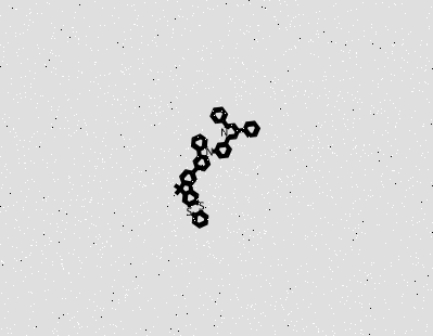 CC1(C)c2ccc(-c3ccc4c(c3)c3ccccc3n4-c3cccc(-c4cc(-c5ccccc5)cc(-c5ccccc5)n4)c3)cc2-c2cc3c(cc21)Sc1ccccc1S3